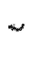 Cc1cc(-c2[nH]c3cc(-c4nc(C5CCCN(CC(=O)N6CCCC6)C5)no4)sc3c2C(C)C)cn2ncnc12